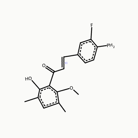 COc1c(C)cc(C)c(O)c1C(=O)/C=C/c1ccc(P)c(F)c1